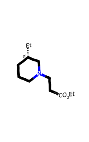 CCOC(=O)CCN1CCC[C@H](CC)C1